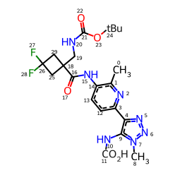 Cc1nc(-c2nnn(C)c2NC(=O)O)ccc1NC(=O)C1(CNC(=O)OC(C)(C)C)CC(F)(F)C1